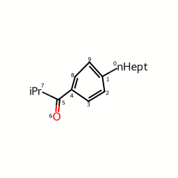 CCCCCCCc1ccc(C(=O)C(C)C)cc1